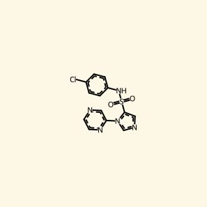 O=S(=O)(Nc1ccc(Cl)cc1)c1cncn1-c1cnccn1